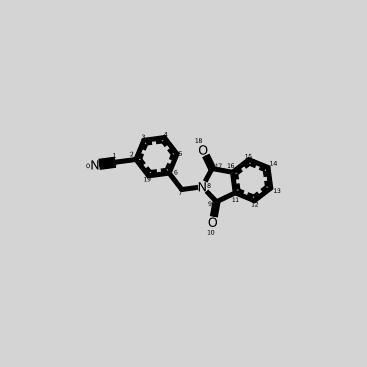 N#Cc1cccc(CN2C(=O)c3ccccc3C2=O)c1